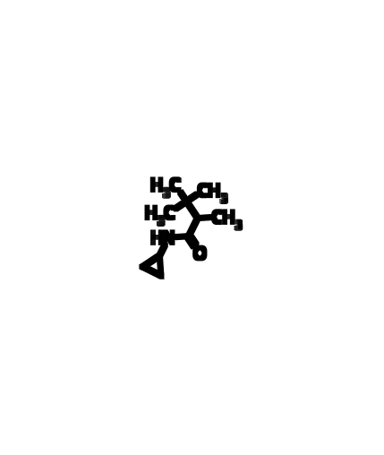 CC(C(=O)NC1CC1)C(C)(C)C